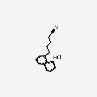 Cl.N#CCCCCc1cccc2ccccc12